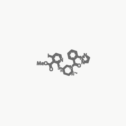 COC(=O)c1c(I)ccnc1S[C@@H]1CC[C@@H](C)N(C(=O)c2ccccc2-n2nccn2)C1